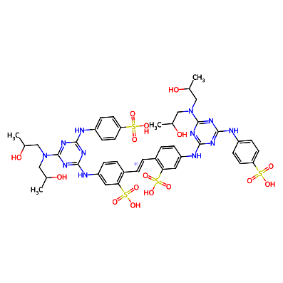 CC(O)CN(CC(C)O)c1nc(Nc2ccc(S(=O)(=O)O)cc2)nc(Nc2ccc(/C=C/c3ccc(Nc4nc(Nc5ccc(S(=O)(=O)O)cc5)nc(N(CC(C)O)CC(C)O)n4)cc3S(=O)(=O)O)c(S(=O)(=O)O)c2)n1